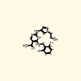 NC(=O)c1cnc(Nc2cnn(CCO)c2)nc1NCc1c(F)cccc1F